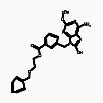 CCCCOc1nc(N)c2nc(O)n(Cc3cccc(C(=O)OCCOCc4ccccc4)c3)c2n1